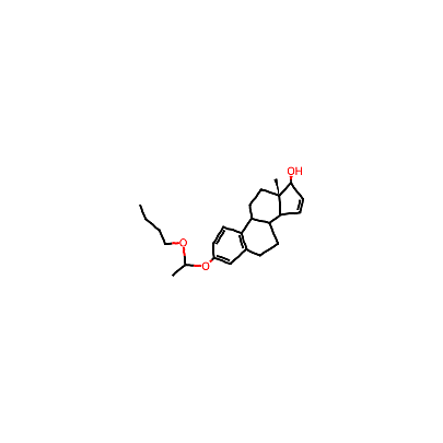 CCCCOC(C)Oc1ccc2c(c1)CCC1C2CC[C@@]2(C)C1C=C[C@@H]2O